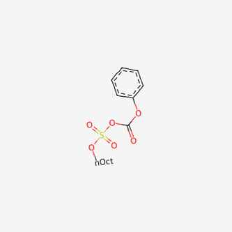 CCCCCCCCOS(=O)(=O)OC(=O)Oc1ccccc1